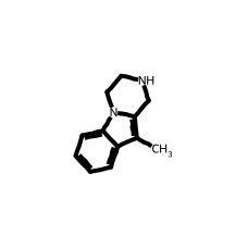 Cc1c2n(c3ccccc13)CCNC2